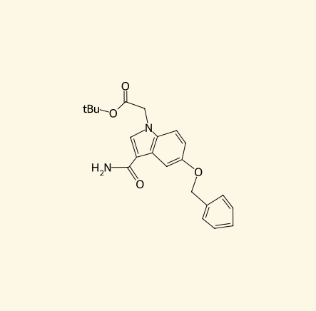 CC(C)(C)OC(=O)Cn1cc(C(N)=O)c2cc(OCc3ccccc3)ccc21